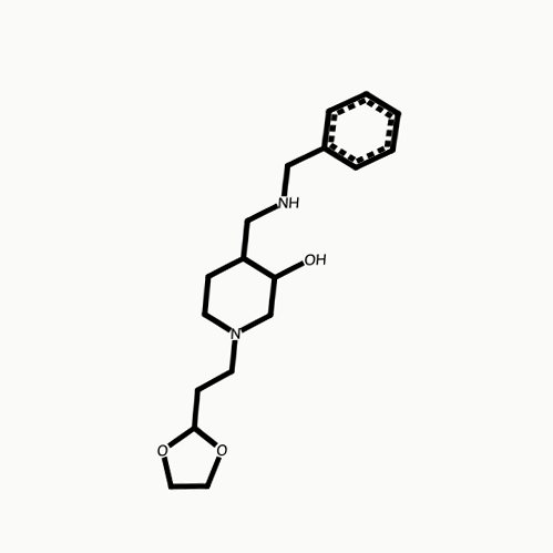 OC1CN(CCC2OCCO2)CCC1CNCc1ccccc1